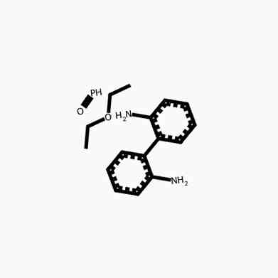 CCOCC.Nc1ccccc1-c1ccccc1N.O=P